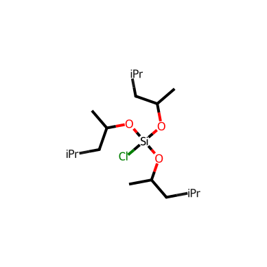 CC(C)CC(C)O[Si](Cl)(OC(C)CC(C)C)OC(C)CC(C)C